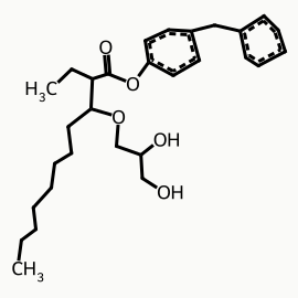 CCCCCCCCC(OCC(O)CO)C(CC)C(=O)Oc1ccc(Cc2ccccc2)cc1